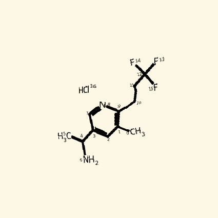 Cc1cc(C(C)N)cnc1CCC(F)(F)F.Cl